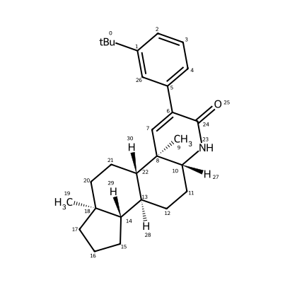 CC(C)(C)c1cccc(C2=C[C@@]3(C)[C@@H](CC[C@H]4[C@@H]5CCC[C@@]5(C)CC[C@@H]43)NC2=O)c1